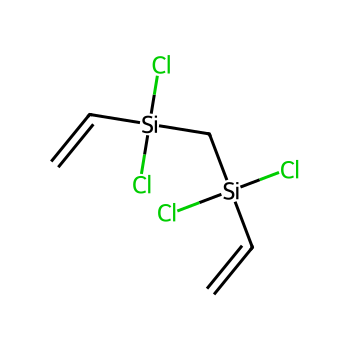 C=C[Si](Cl)(Cl)C[Si](Cl)(Cl)C=C